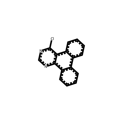 Clc1ncnc2c3ccccc3c3ccccc3c12